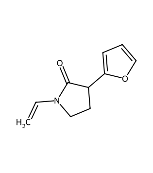 C=CN1CCC(c2ccco2)C1=O